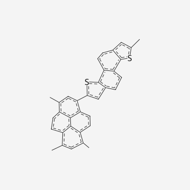 Cc1cc2ccc3c(ccc4cc(-c5cc(C)c6ccc7c(C)cc(C)c8ccc5c6c78)sc43)c2s1